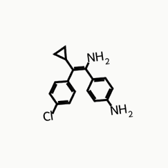 N/C(=C(/c1ccc(Cl)cc1)C1CC1)c1ccc(N)cc1